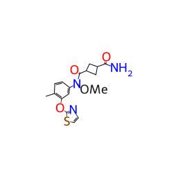 CON(C(=O)C1CC(C(N)=O)C1)c1ccc(C)c(Oc2nccs2)c1